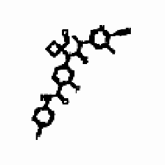 Cc1cc(N(C)C(=S)N(c2ccc(C(=O)Nc3ccc(F)cc3)c(F)c2)C2(C=O)CCC2)cnc1C#N